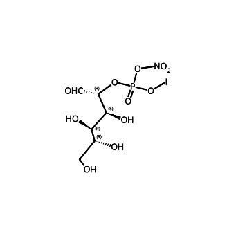 O=C[C@H](OP(=O)(OI)O[N+](=O)[O-])[C@@H](O)[C@H](O)[C@H](O)CO